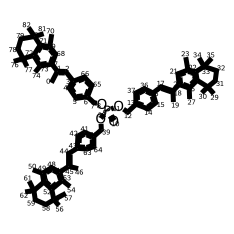 C/C(=C\c1ccc(COP(=O)(OCc2ccc(/C=C(\C)c3cc(C)c4c(c3C)C(C)(C)CCC4(C)C)cc2)OCc2ccc(/C=C(\C)c3cc(C)c4c(c3C)C(C)(C)CCC4(C)C)cc2)cc1)c1cc(C)c2c(c1C)C(C)(C)CCC2(C)C